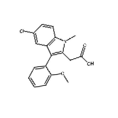 COc1ccccc1-c1c(CC(=O)O)n(C)c2ccc(Cl)cc12